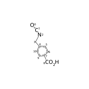 O=C=NCc1ccc(C(=O)O)cc1